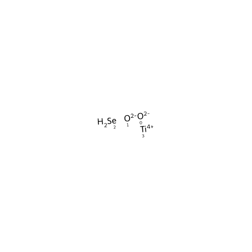 [O-2].[O-2].[SeH2].[Ti+4]